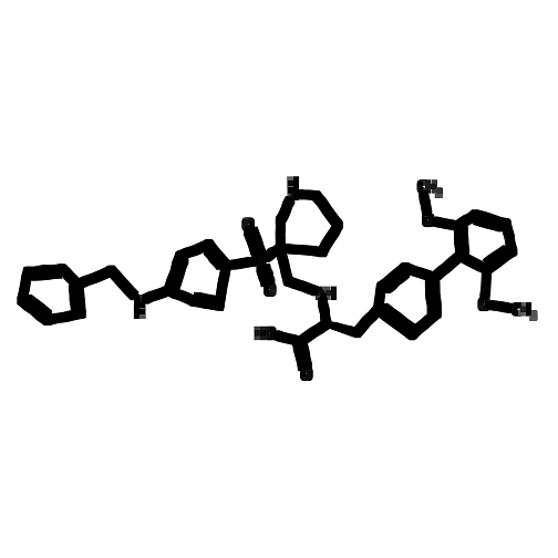 COc1cccc(OC)c1-c1ccc(C[C@H](NCC2(S(=O)(=O)c3ccc(NCc4ccccc4)cc3)CCCNC2)C(=O)O)cc1